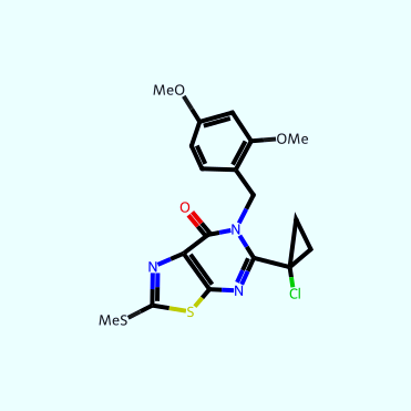 COc1ccc(Cn2c(C3(Cl)CC3)nc3sc(SC)nc3c2=O)c(OC)c1